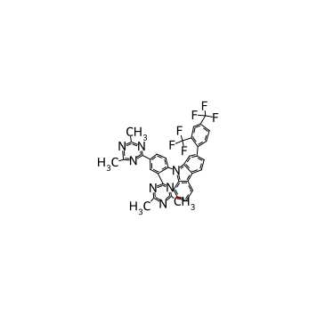 Cc1nc(C)nc(-c2ccc(-n3c4ccccc4c4ccc(-c5ccc(C(F)(F)F)cc5C(F)(F)F)cc43)c(-c3nc(C)nc(C)n3)c2)n1